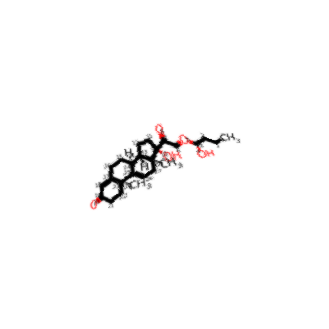 CCC[C@@H](O)OCC(=O)[C@@]1(O)CC[C@H]2[C@@H]3CCC4=CC(=O)CC[C@]4(C)C3=CC[C@@]21C